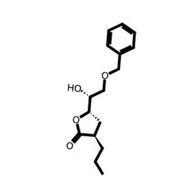 CCC[C@@H]1C[C@@H]([C@H](O)COCc2ccccc2)OC1=O